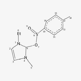 CCN1C=CN(C)C1OS(=O)c1ccc(C)cc1